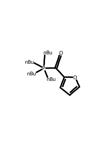 CCCCP(CCCC)(CCCC)(CCCC)C(=O)c1ccco1